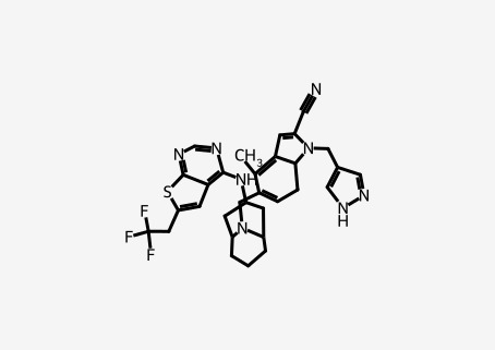 CC1=C2C=C(C#N)N(Cc3cn[nH]c3)C2CC=C1CN1C2CCCC1CC(Nc1ncnc3sc(CC(F)(F)F)cc13)C2